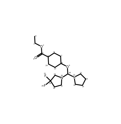 CCOC(=O)C1CCC(OC(N2CCCC2)N2CCC(F)(F)C2)CC1